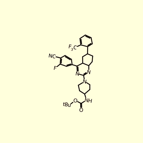 CC(C)(C)OC(=O)NC1CCN(C2=NC3CCC(c4ccccc4C(F)(F)F)CC3C(c3ccc(C#N)c(F)c3)=N2)CC1